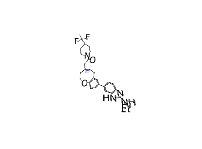 CCNc1nc2ccc(-c3ccc4c(c3)C/C=C(/CC(=O)N3CCC(C(C)(F)F)CC3)CCO4)cc2[nH]1